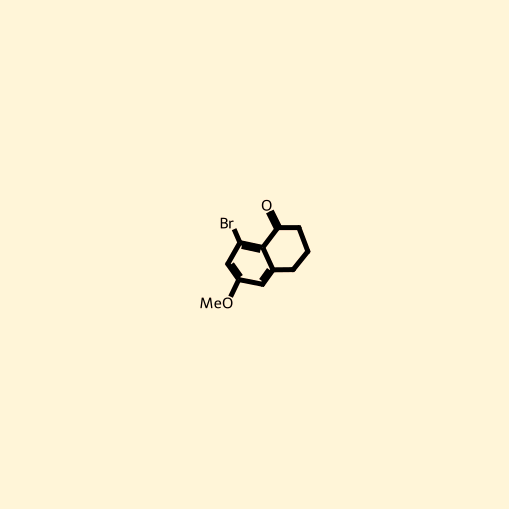 COc1cc(Br)c2c(c1)CCCC2=O